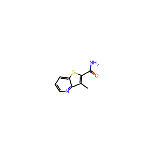 Cc1c(C(N)=O)sc2cccnc12